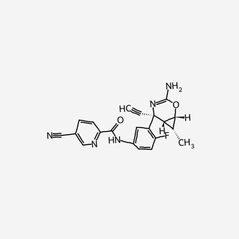 C#C[C@]1(c2cc(NC(=O)c3ccc(C#N)cn3)ccc2F)N=C(N)O[C@@H]2[C@H](C)[C@@H]21